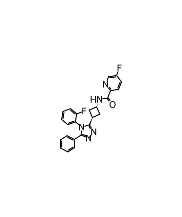 O=C(N[C@H]1C[C@H](c2nnc(-c3ccccc3)n2-c2ccccc2F)C1)c1ccc(F)cn1